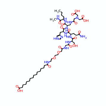 CCCCC(NC(=O)C(CNC(=O)CN(CC(=O)O)CC(=O)O)NC(=O)C(Cc1c[nH]cn1)NC(=O)C(CCC(N)=O)NC(=O)C(CO)NC(=O)CNC(=O)COCCOCCNC(=O)CCCCCCCCCCCCCCC(=O)O)C(=O)NC